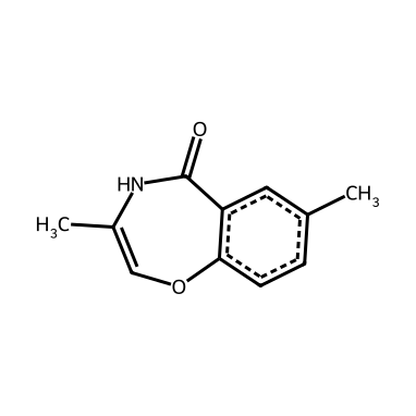 CC1=COc2ccc(C)cc2C(=O)N1